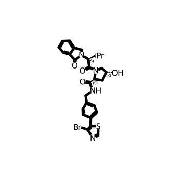 CC(C)[C@@H](C(=O)N1C[C@H](O)C[C@H]1C(=O)NCc1ccc(-c2scnc2Br)cc1)N1Cc2ccccc2C1=O